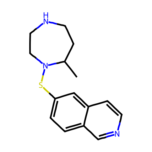 CC1CCNCCN1Sc1ccc2cnccc2c1